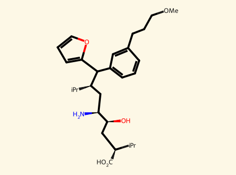 COCCCc1cccc(C(c2ccco2)[C@@H](C[C@H](N)[C@@H](O)C[C@H](C(=O)O)C(C)C)C(C)C)c1